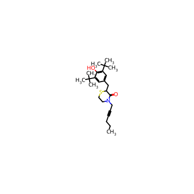 CCCC#CCN1CCSC(Cc2cc(C(C)(C)C)c(O)c(C(C)(C)C)c2)C1=O